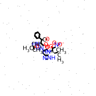 CC(C)C[C@H](NC(=O)[C@H](Cc1c[nH]cn1)NC(=O)[C@@H](NOC(C)(C)C)C(=C=O)c1ccccc1)C(O)C[N+](=O)[O-]